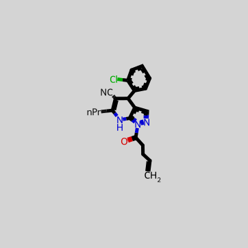 C=CCCC(=O)n1ncc2c1NC(CCC)=C(C#N)C2c1ccccc1Cl